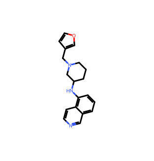 c1cc(NC2CCCN(Cc3ccoc3)C2)c2ccncc2c1